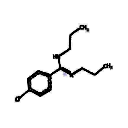 CCC/N=C(\NCCC)c1ccc(Cl)cc1